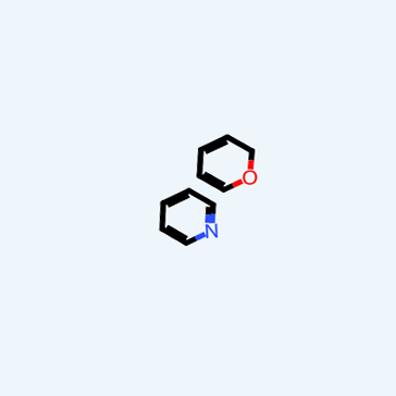 C1=CCOC=C1.c1ccncc1